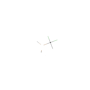 C[SH](C)C(C)(F)F